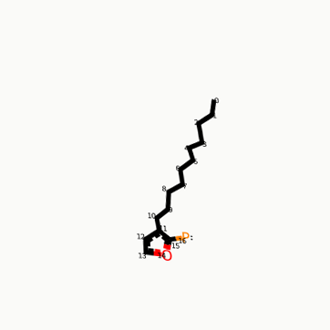 CCCCCCCCCCCc1ccoc1[P]